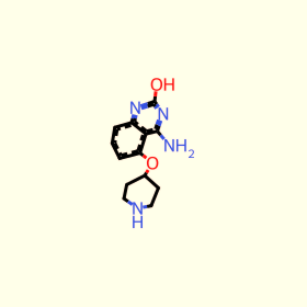 Nc1nc(O)nc2cccc(OC3CCNCC3)c12